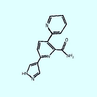 NC(=O)c1nc(-c2cn[nH]c2)ccc1-c1ccccn1